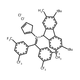 Cc1cc2c(cc1C(C)(C)C)-c1cc(C(C)(C)C)c(C)cc1[CH]2[Zr+2]([C]1=CC=CC1)=[C](c1cc(C(F)(F)F)cc(C(F)(F)F)c1)c1cc(C(F)(F)F)cc(C(F)(F)F)c1.[Cl-].[Cl-]